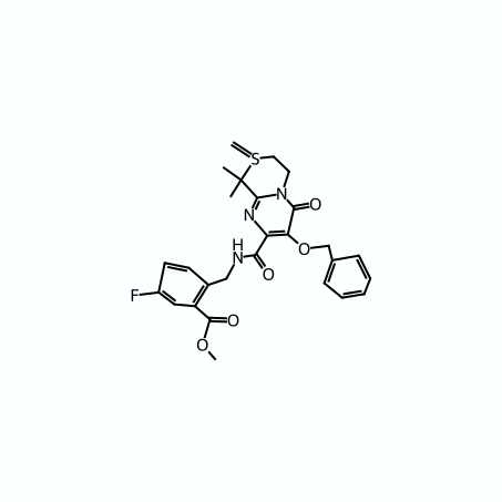 C=S1CCn2c(nc(C(=O)NCc3ccc(F)cc3C(=O)OC)c(OCc3ccccc3)c2=O)C1(C)C